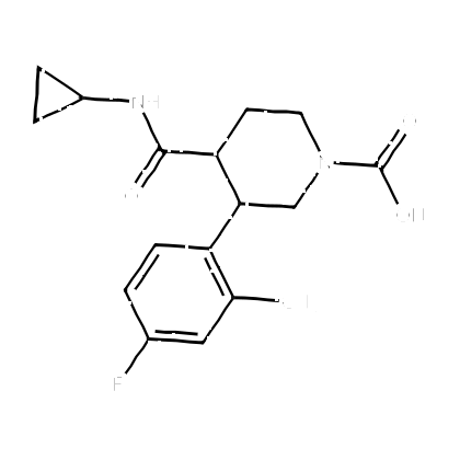 Cc1cc(F)ccc1C1CN(C(=O)O)CCC1C(=O)NC1CC1